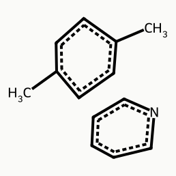 Cc1ccc(C)cc1.c1ccncc1